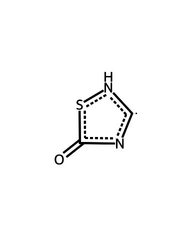 O=c1n[c][nH]s1